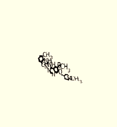 COc1cc2c(NC(=S)Nc3c(C)cccc3C)ncnc2cc1OCC1CCN(C)CC1